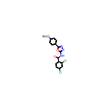 COc1ccc(-c2nnc(NC(=O)c3ccc(Cl)cc3Cl)o2)cc1